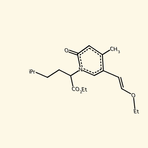 CCO/C=C/c1cn(C(CCC(C)C)C(=O)OCC)c(=O)cc1C